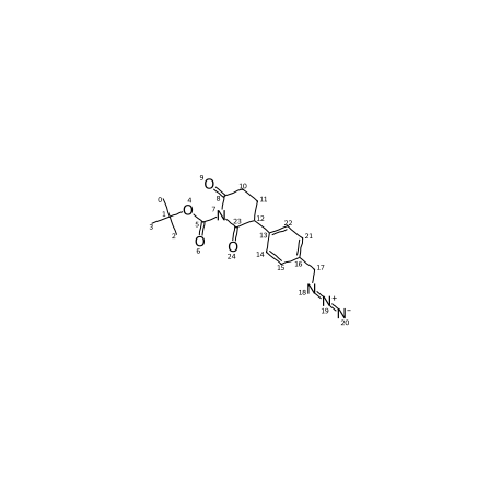 CC(C)(C)OC(=O)N1C(=O)CCC(c2ccc(CN=[N+]=[N-])cc2)C1=O